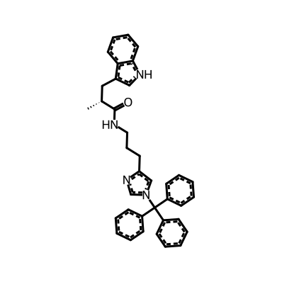 C[C@H](Cc1c[nH]c2ccccc12)C(=O)NCCCc1cn(C(c2ccccc2)(c2ccccc2)c2ccccc2)cn1